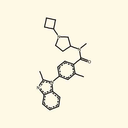 Cc1cc(-n2c(C)nc3ccccc32)ccc1C(=O)N(C)C1CCN(C2CCC2)C1